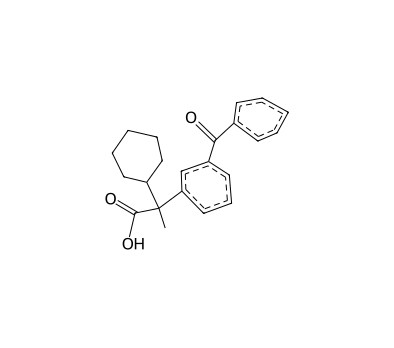 CC(C(=O)O)(c1cccc(C(=O)c2ccccc2)c1)C1CCCCC1